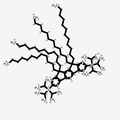 CCCCCCCCCCCCC1(CCCCCCCCCCCC)c2nc([Si](C(C)C)(C(C)C)C(C)C)sc2-c2sc3c(c21)C(CCCCCCCCCCCC)(CCCCCCCCCCCC)c1nc([Si](C(C)C)(C(C)C)C(C)C)sc1-3